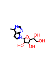 Cc1ncnc2c1ccn2[C@@H]1O[C@@H]([C@H](O)CO)[C@@H](O)[C@H]1O